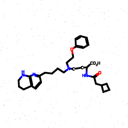 O=C(CC1CCC1)NC(CCN(CCCCc1ccc2c(n1)NCCC2)CCOc1ccccc1)C(=O)O